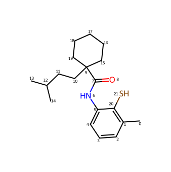 Cc1cccc(NC(=O)C2(CCC(C)C)CCCCC2)c1S